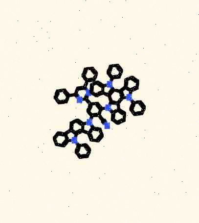 N#Cc1c(-n2c3ccccc3c3c4c(ccc32)c2c(n4-c3ccccc3)=CCCC=2)cc(-c2nc(-c3ccccc3)cc(-c3ccccc3)n2)cc1-n1c2ccccc2c2c3c(c4ccccc4n3-c3ccccc3)c3c(c4ccccc4n3-c3ccccc3)c21